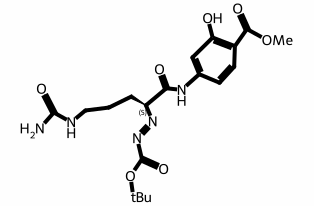 COC(=O)c1ccc(NC(=O)[C@H](CCCNC(N)=O)N=NC(=O)OC(C)(C)C)cc1O